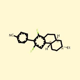 CC[C@@H]1CC[C@@H]2c3cc(F)c(-c4ccc(C#N)cc4)c(F)c3CC[C@H]2C1